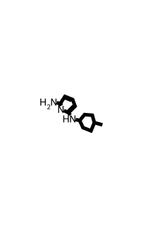 CC1CCC(Nc2cccc(N)n2)CC1